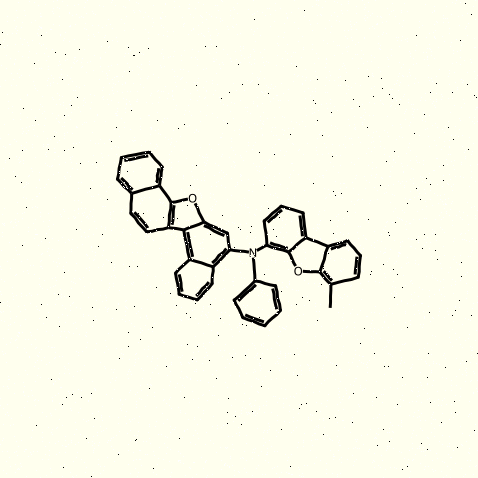 Cc1cccc2c1oc1c(N(c3ccccc3)c3cc4oc5c6ccccc6ccc5c4c4ccccc34)cccc12